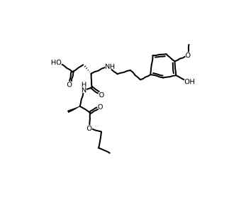 CCCOC(=O)[C@@H](C)NC(=O)[C@H](CC(=O)O)NCCCc1ccc(OC)c(O)c1